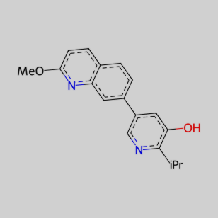 COc1ccc2ccc(-c3cnc(C(C)C)c(O)c3)cc2n1